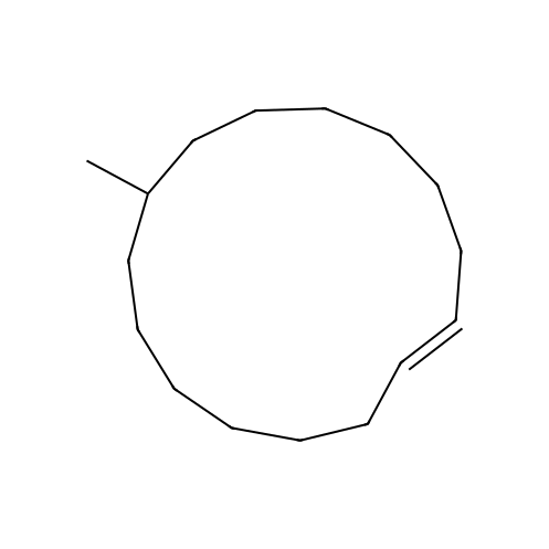 CC1CCCCCC/C=C/CCCCCC1